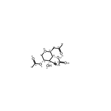 C#C[C@@]1(O)[C@H](OC(C)=O)CO[C@@H](CC(C)=O)[C@@H]1OC(C)=O